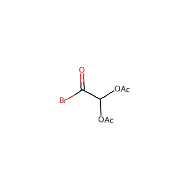 CC(=O)OC(OC(C)=O)C(=O)Br